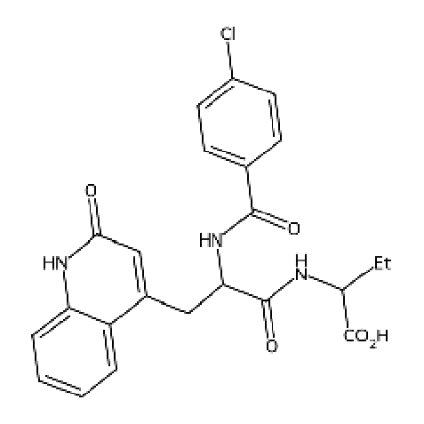 CCC(NC(=O)C(Cc1cc(=O)[nH]c2ccccc12)NC(=O)c1ccc(Cl)cc1)C(=O)O